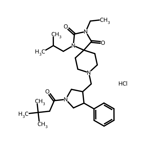 CCN1C(=O)N(CC(C)C)C2(CCN(CC3CN(C(=O)CC(C)(C)C)CC3c3ccccc3)CC2)C1=O.Cl